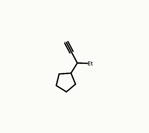 [C]#CC(CC)C1CCCC1